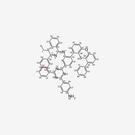 CCC(C)/C(=N\C(=N/c1cc(-c2nc(-c3ccccc3)nc(-c3ccc(N)cc3)n2)ccc1-c1cccc2c1Sc1c(cccc1-c1ccccc1)O2)c1ccccc1)c1ccccc1